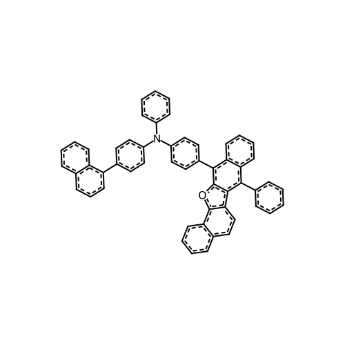 c1ccc(-c2c3ccccc3c(-c3ccc(N(c4ccccc4)c4ccc(-c5cccc6ccccc56)cc4)cc3)c3oc4c5ccccc5ccc4c23)cc1